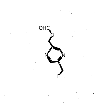 O=COCc1cnc(CF)cn1